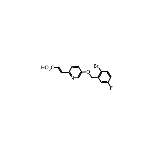 O=C(O)C=Cc1ccc(OCc2cc(F)ccc2Br)cn1